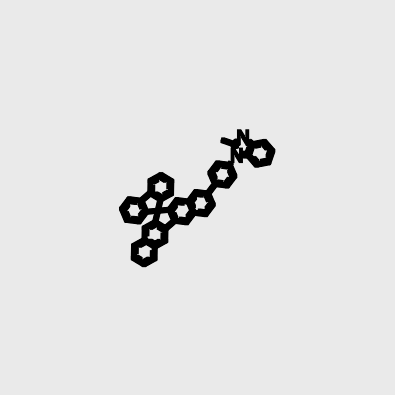 Cc1nc2ccccc2n1-c1ccc(-c2ccc3cc4c(cc3c2)C2(c3ccccc3-c3ccccc32)c2cc3ccccc3cc2-4)cc1